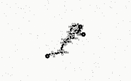 C[C@H](NC(=O)CCCC(=O)N[C@@H](CCCCNC(=O)OCc1ccccc1)C(=O)OC(C)(C)C)C(=O)N(C)[C@@H](C)C(=O)N[C@@H](CC(N)=O)C(=O)N[C@@H](CCN(C(=O)CO)[C@@H](c1cc(-c2cc(F)ccc2F)cn1Cc1ccccc1)C(C)(C)C)C(=O)NCCC(=O)N[C@H](CCC(=O)O)C(=O)O